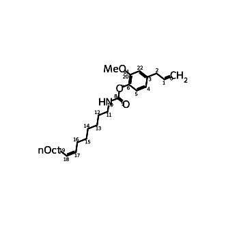 C=CCc1ccc(OC(=O)NCCCCCC/C=C\CCCCCCCC)c(OC)c1